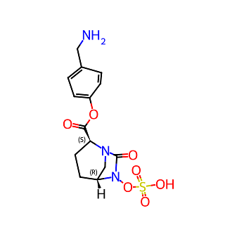 NCc1ccc(OC(=O)[C@@H]2CC[C@@H]3CN2C(=O)N3OS(=O)(=O)O)cc1